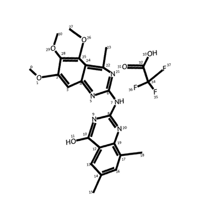 COc1cc2nc(Nc3nc(O)c4cc(C)cc(C)c4n3)nc(C)c2c(OC)c1OC.O=C(O)C(F)(F)F